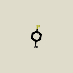 CC(=O)c1ccc(S)cc1